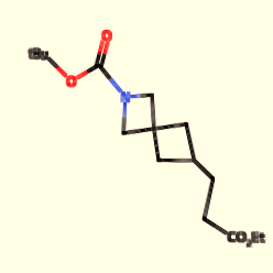 CCOC(=O)CCC1CC2(C1)CN(C(=O)OC(C)(C)C)C2